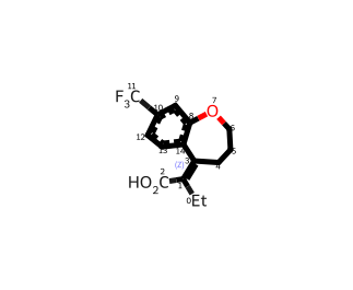 CC/C(C(=O)O)=C1\CCCOc2cc(C(F)(F)F)ccc21